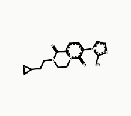 CCCc1nccn1-c1ccc2n(c1=O)CCN(CCC1CC1)C2=O